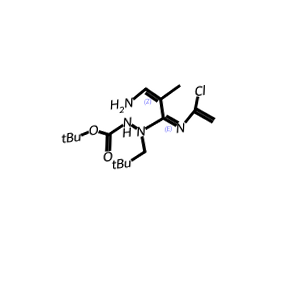 C=C(Cl)/N=C(\C(C)=C/N)N(CC(C)(C)C)NC(=O)OC(C)(C)C